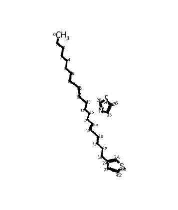 CCCCCCCCCCCCCCCCCCCCc1ccsc1.c1cscn1